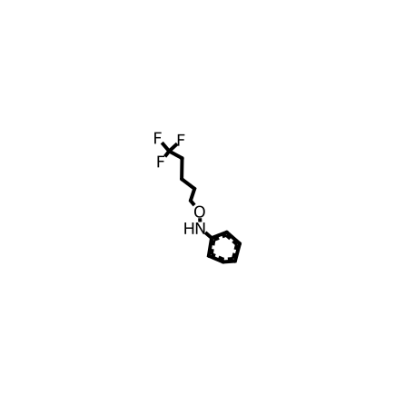 FC(F)(F)CCCCONc1ccccc1